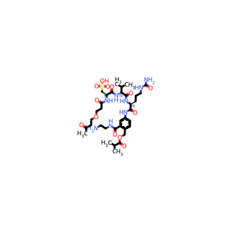 CC(=O)CCOCCC(=O)N[C@@H](CS(=O)(=O)O)C(=O)N[C@H](C(=O)N[C@@H](CCCNC(N)=O)C(=O)Nc1ccc(COC(=O)C(C)C)c(C(=O)NCCN)c1)C(C)C